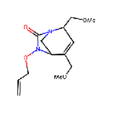 C=CCON1C(=O)N2CC1C(COC)=CC2COC